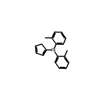 Cc1cccc[c]1[Fe]([C]1=CC=CC1)[c]1ccccc1C